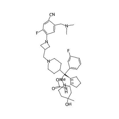 COC(=O)N[C@H]1CCC[C@@H]1C(CN1CCC(C)(O)CC1)(c1cccc(F)c1)C1CCN(CC2CN(c3cc(CN(C)C)c(C#N)cc3F)C2)CC1